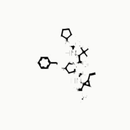 C=CC1C[C@]1(NC(=O)[C@@H]1C[C@@H](OCc2ccccc2)CN1C(=O)[C@@H](NC(=O)OC1CCCC1)C(C)(C)C)C(=O)OC